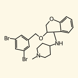 CN1CCC(NC2c3ccccc3OCC2OCc2cc(Br)cc(Br)c2)CC1